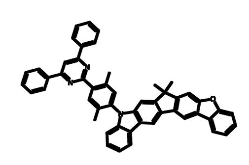 Cc1cc(-n2c3ccccc3c3cc4c(cc32)C(C)(C)c2cc3oc5ccccc5c3cc2-4)c(C)cc1-c1nc(-c2ccccc2)cc(-c2ccccc2)n1